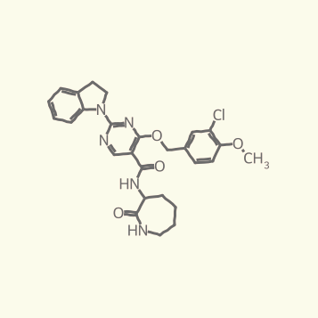 COc1ccc(COc2nc(N3CCc4ccccc43)ncc2C(=O)NC2CCCCNC2=O)cc1Cl